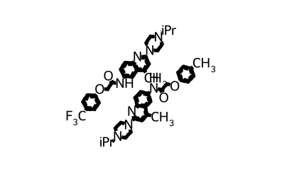 Cc1cc(N2CCN(C(C)C)CC2)nc2ccc(NC(=O)COc3ccc(C(F)(F)F)cc3)cc12.Cc1ccc(OCC(=O)Nc2ccc3nc(N4CCN(C(C)C)CC4)cc(C)c3c2)cc1